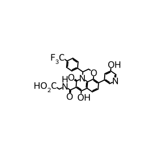 O=C(O)CNC(=O)c1c(O)c2ccc(-c3cncc(O)c3)c3c2n(c1=O)C(c1ccc(C(F)(F)F)cc1)CO3